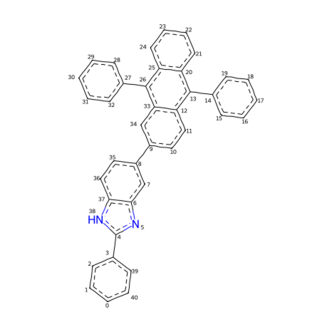 c1ccc(-c2nc3cc(-c4ccc5c(-c6ccccc6)c6ccccc6c(-c6ccccc6)c5c4)ccc3[nH]2)cc1